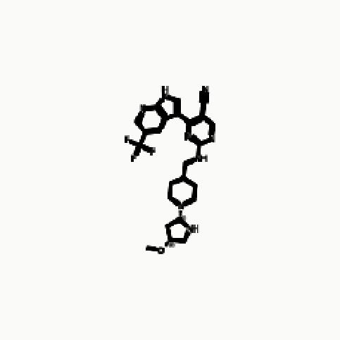 CO[C@H]1CN[C@@H](N2CCC(CNc3ncc(C#N)c(-c4c[nH]c5ncc(C(F)(F)F)cc45)n3)CC2)C1